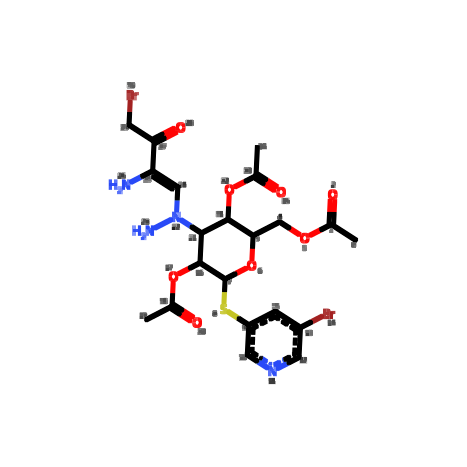 CC(=O)OCC1OC(Sc2cncc(Br)c2)C(OC(C)=O)C(N(N)/C=C(\N)C(=O)CBr)C1OC(C)=O